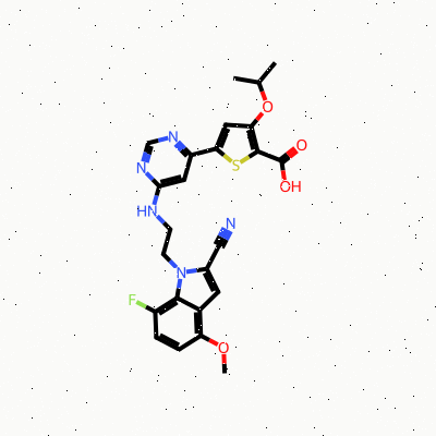 COc1ccc(F)c2c1cc(C#N)n2CCNc1cc(-c2cc(OC(C)C)c(C(=O)O)s2)ncn1